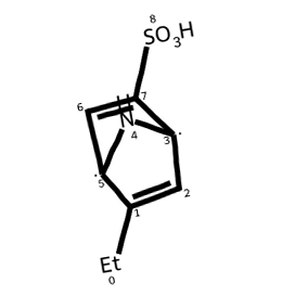 CCC1=C[C]2N[C]1C=C2S(=O)(=O)O